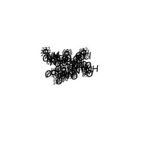 COc1ccc(C(OC[C@H]2O[C@@H](n3cnc4c(NC(=O)c5ccccc5)ncnc43)C[C@@H]2OP(=O)(OC[C@H]2O[C@@H](n3cnc4c(=O)[nH]c(NC(=O)C(C)C)nc43)C[C@@H]2OP(=O)(OC[C@H]2O[C@@H](n3cc(C)c(=O)[nH]c3=O)C[C@@H]2O)Oc2ccccc2Cl)Oc2ccccc2Cl)(c2ccccc2)c2ccc(OC)cc2)cc1